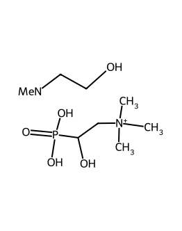 CNCCO.C[N+](C)(C)CC(O)P(=O)(O)O